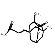 CC(=O)CCC12CC3CC(C)(C1)CC(C)(C2)C(=O)O3